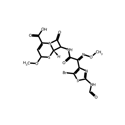 CON=C(C(=O)NC1C(=O)N2C(C(=O)O)=CC(OC)S[C@@H]12)c1nc(NC=O)sc1Br